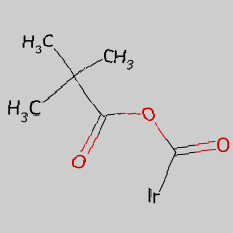 CC(C)(C)C(=O)O[C](=O)[Ir]